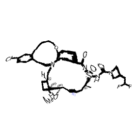 CO[C@H]1/C=C/C[C@H](C)CS(=O)(NC(=O)N2CC(CC(F)F)C2)=NC(=O)c2ccc3c(c2)N(CCc2ccc(Cl)cc2CCCCO3)C[C@@H]2CC[C@H]21